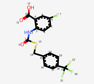 O=C(Nc1ccc(F)cc1C(=O)O)SCc1ccc(C(F)(F)F)cc1